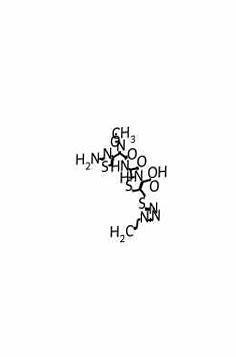 C=CCn1cnnc1SCC1=C(C(=O)O)N2C(=O)C(NC(=O)/C(=N/OC)c3csc(N)n3)[C@H]2SC1